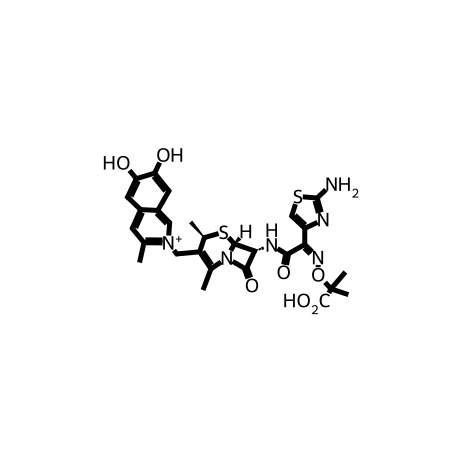 CC1=C(C[n+]2cc3cc(O)c(O)cc3cc2C)[C@@H](C)S[C@@H]2[C@H](NC(=O)/C(=N\OC(C)(C)C(=O)O)c3csc(N)n3)C(=O)N12